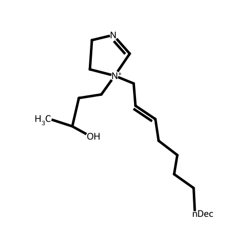 CCCCCCCCCCCCCCC=CC[N+]1(CCC(C)O)C=NCC1